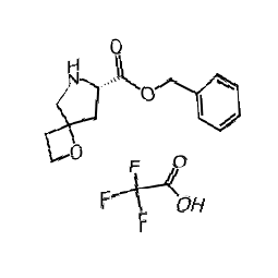 O=C(O)C(F)(F)F.O=C(OCc1ccccc1)[C@@H]1CC2(CCO2)CN1